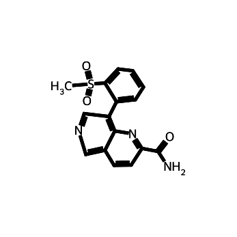 CS(=O)(=O)c1ccccc1-c1cncc2ccc(C(N)=O)nc12